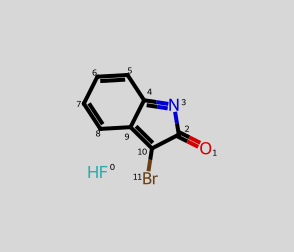 F.O=C1N=c2ccccc2=C1Br